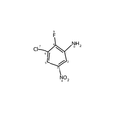 Nc1cc([N+](=O)[O-])cc(Cl)c1F